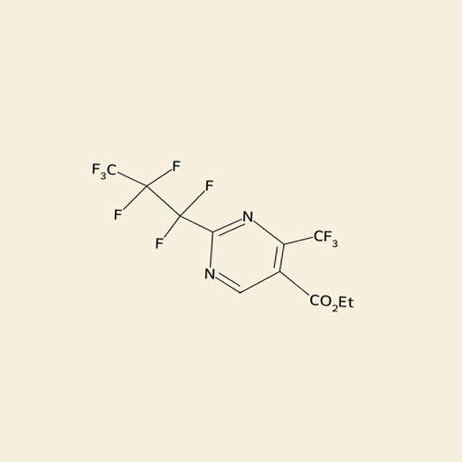 CCOC(=O)c1cnc(C(F)(F)C(F)(F)C(F)(F)F)nc1C(F)(F)F